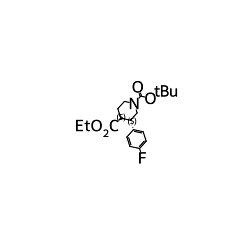 CCOC(=O)[C@H]1CCN(C(=O)OC(C)(C)C)C[C@@H]1c1ccc(F)cc1